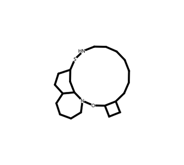 C1CCCNSC2CCC3CCCCN(OC4CCC4CCC1)C3C2